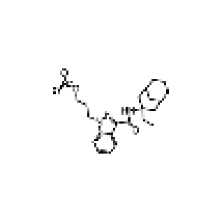 CCC1(NC(=O)c2nn(CCCO[N+](=O)[O-])c3ccccc23)CC2CCCC(C2)C1